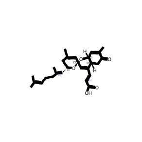 CC(C)=CCC/C(C)=C/[C@@H]1CC(C)=C[C@]2(C=C(/C=C/C(=O)O)[C@H]3CC(=O)C(C)=C[C@H]3O2)O1